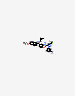 COc1ccc2cc(C(NCC3CC3)c3cccc(NC(=O)c4cc(C(F)(F)F)nn4-c4cccc(CN)c4)c3)ccc2c1